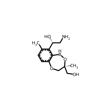 Cc1ccc2c(c1[C@H](O)CN)BO[C@@](C)(CO)CO2